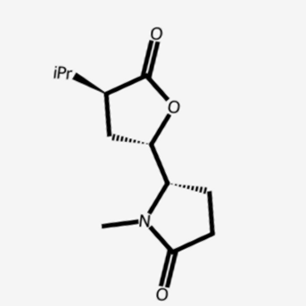 CC(C)[C@@H]1C[C@@H]([C@@H]2CCC(=O)N2C)OC1=O